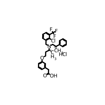 C[C@H](CN(Cc1cccc(C(F)(F)F)c1Cl)[C@@H](C)CCOc1cccc(CC(=O)O)c1)c1ccccc1.Cl